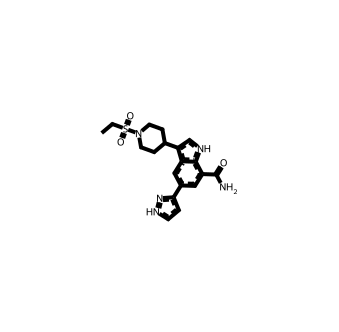 CCS(=O)(=O)N1CCC(c2c[nH]c3c(C(N)=O)cc(-c4cc[nH]n4)cc23)CC1